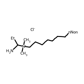 CCCCCCCCCCCCCCCC[N+](C)(C)C(N)CC.[Cl-]